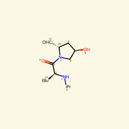 CC(C)N[C@H](C(=O)N1C[C@H](O)C[C@H]1C=O)C(C)(C)C